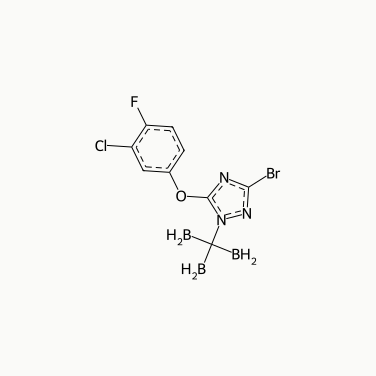 BC(B)(B)n1nc(Br)nc1Oc1ccc(F)c(Cl)c1